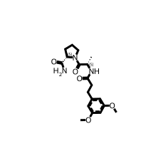 COc1cc(CCC(=O)N[C@@H](C)C(=O)N2CCC[C@H]2C(N)=O)cc(OC)c1